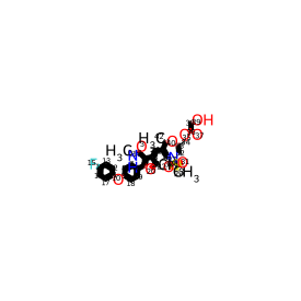 CNC(=O)C1=C(c2ccc(Oc3ccc(F)cc3)cc2)OC(C)/C1=C\C1=CN(S(C)(=O)=O)C[C@@H](COC(=O)CO)O[C@H]1C